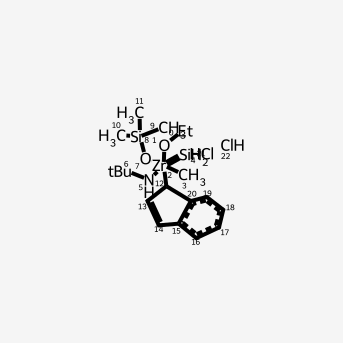 CC[O][Zr]([CH3])(=[SiH2])([NH]C(C)(C)C)([O][Si](C)(C)C)[CH]1C=Cc2ccccc21.Cl.Cl